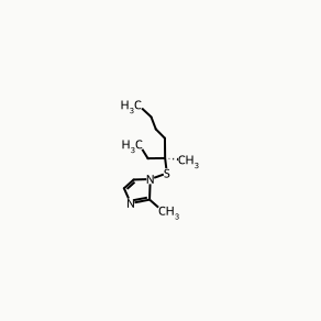 CCCC[C@](C)(CC)Sn1ccnc1C